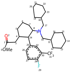 COC(=O)CC1CCCC(N(CC2CCCCC2)CC2CCCCC2)C1c1ccc(F)c(C(F)(F)F)c1